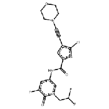 O=C(Nc1cc(F)c(=O)n(CC(F)F)c1)c1cc(C#CN2CCOCC2)c(Cl)s1